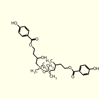 CC(CCOC(=O)c1ccc(O)cc1)C[Si](C)(C)O[Si](C)(C)CC(O)CCOC(=O)c1ccc(O)cc1